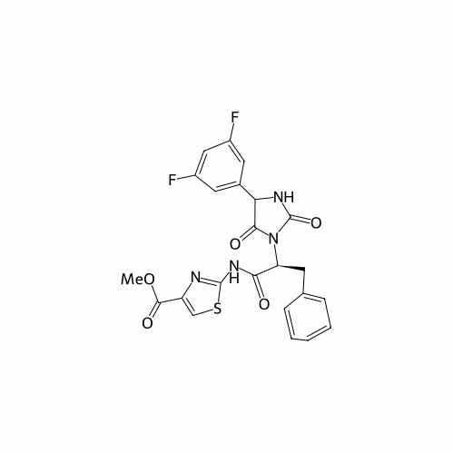 COC(=O)c1csc(NC(=O)[C@H](Cc2ccccc2)N2C(=O)NC(c3cc(F)cc(F)c3)C2=O)n1